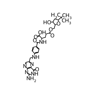 CC(C)(C)C1CC(O)C(COC(=O)CCC(NC(=O)c2ccc(NCc3cnc4nc(N)[nH]c(=O)c4n3)cc2)C(=O)O)O1